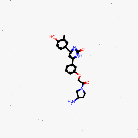 Cc1cc(-c2cc(-c3cccc(OCC(=O)N4CCC(N)C4)c3)[nH]c(=O)n2)ccc1O